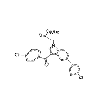 COC(=O)Cn1cc(C(=O)c2ccc(Cl)cc2)c2cc(-c3ccc(Cl)cc3)ccc21